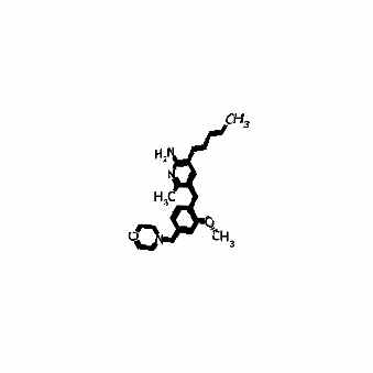 CCCCCc1cc(Cc2ccc(CN3CCOCC3)cc2OC)c(C)nc1N